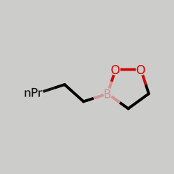 [CH2]CCCCB1CCOO1